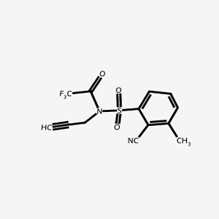 C#CCN(C(=O)C(F)(F)F)S(=O)(=O)c1cccc(C)c1C#N